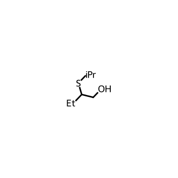 CCC(CO)SC(C)C